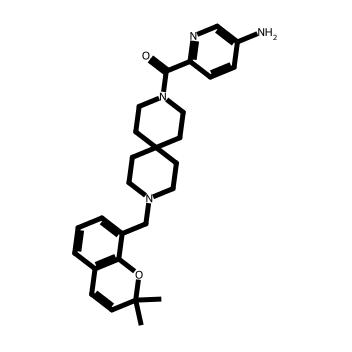 CC1(C)C=Cc2cccc(CN3CCC4(CC3)CCN(C(=O)c3ccc(N)cn3)CC4)c2O1